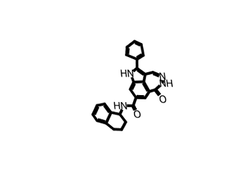 O=C(NC1CCCc2ccccc21)c1cc2c3c(c(-c4ccccc4)[nH]c3c1)C=NNC2=O